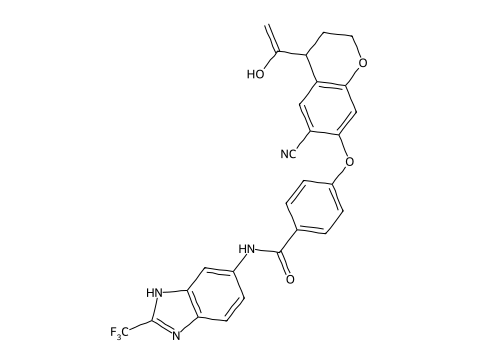 C=C(O)C1CCOc2cc(Oc3ccc(C(=O)Nc4ccc5nc(C(F)(F)F)[nH]c5c4)cc3)c(C#N)cc21